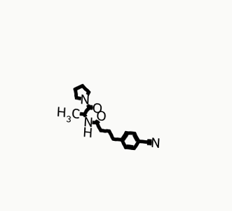 CC(NC(=O)CCCc1ccc(C#N)cc1)C(=O)N1CCCC1